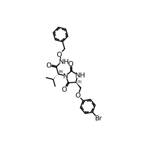 CC(C)[C@H](C(=O)NOCc1ccccc1)N1C(=O)N[C@@H](COc2ccc(Br)cc2)C1=O